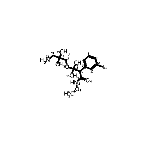 CONC(=O)C(c1cccc(I)c1)C(C)(C)OCC(C)(C)CN